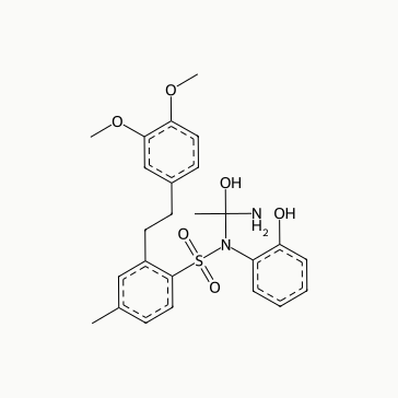 COc1ccc(CCc2cc(C)ccc2S(=O)(=O)N(c2ccccc2O)C(C)(N)O)cc1OC